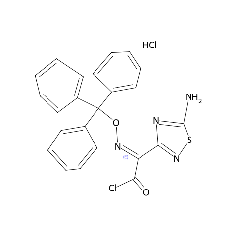 Cl.Nc1nc(/C(=N\OC(c2ccccc2)(c2ccccc2)c2ccccc2)C(=O)Cl)ns1